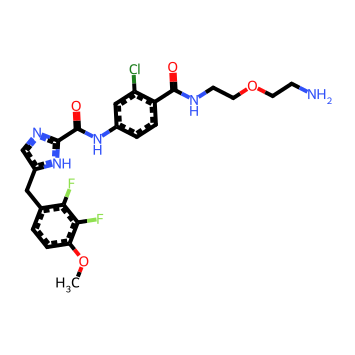 COc1ccc(Cc2cnc(C(=O)Nc3ccc(C(=O)NCCOCCN)c(Cl)c3)[nH]2)c(F)c1F